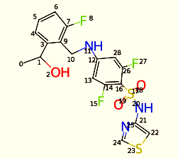 CC(O)c1cccc(F)c1CNc1cc(F)c(S(=O)(=O)Nc2cscn2)c(F)c1